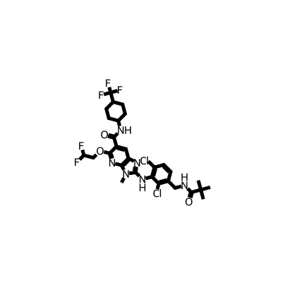 Cn1c(Nc2c(Cl)ccc(CNC(=O)C(C)(C)C)c2Cl)nc2cc(C(=O)NC3CCC(C(F)(F)F)CC3)c(OCC(F)F)nc21